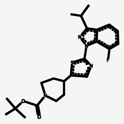 CC(C)c1nn(-c2ncc(C3CCN(C(=O)OC(C)(C)C)CC3)s2)c2c(F)cccc12